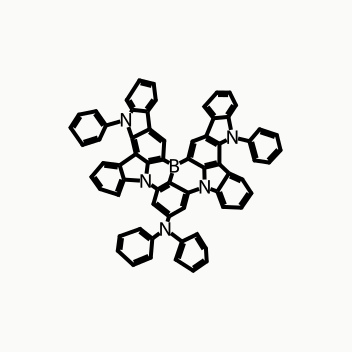 c1ccc(N(c2ccccc2)c2cc3c4c(c2)-n2c5ccccc5c5c2c(cc2c6ccccc6n(-c6ccccc6)c25)B4c2cc4c5ccccc5n(-c5ccccc5)c4c4c5ccccc5n-3c24)cc1